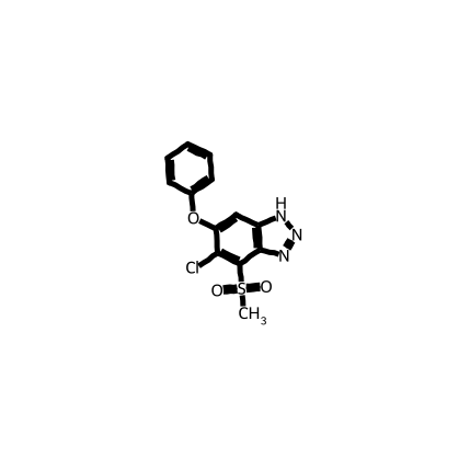 CS(=O)(=O)c1c(Cl)c(Oc2ccccc2)cc2[nH]nnc12